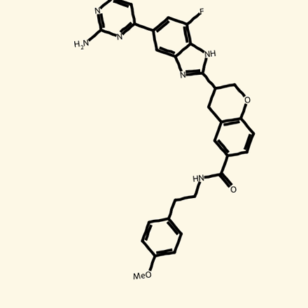 COc1ccc(CCNC(=O)c2ccc3c(c2)CC(c2nc4cc(-c5ccnc(N)n5)cc(F)c4[nH]2)CO3)cc1